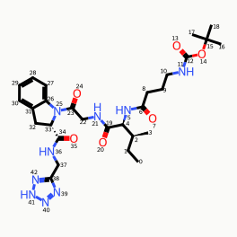 CC[C@H](C)[C@H](NC(=O)CCCNC(=O)OC(C)(C)C)C(=O)NCC(=O)N1c2ccccc2C[C@H]1C(=O)NCc1nn[nH]n1